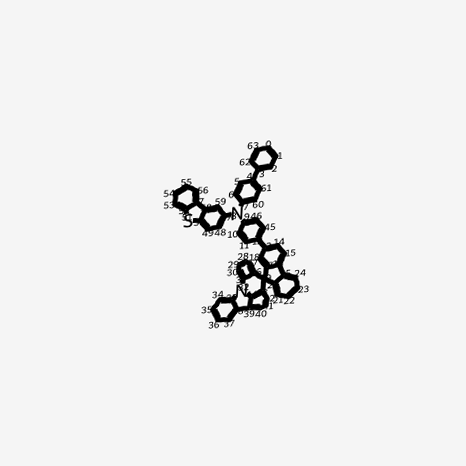 c1ccc(-c2ccc(N(c3ccc(-c4ccc5c(c4)C4(c6ccccc6-5)c5ccccc5-n5c6ccccc6c6cccc4c65)cc3)c3ccc4sc5ccccc5c4c3)cc2)cc1